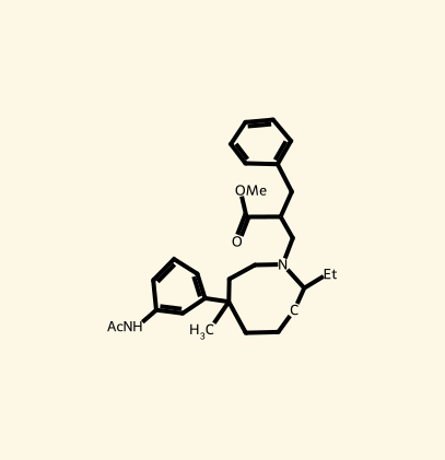 CCC1CCCC(C)(c2cccc(NC(C)=O)c2)CCN1CC(Cc1ccccc1)C(=O)OC